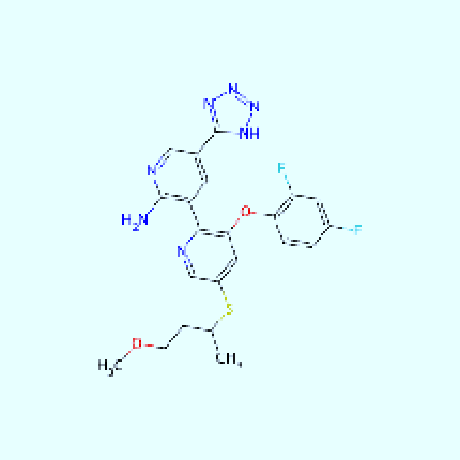 COCCC(C)Sc1cnc(-c2cc(-c3nnn[nH]3)cnc2N)c(Oc2ccc(F)cc2F)c1